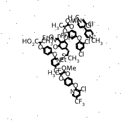 CC(Oc1ccc(Oc2ccc(C(F)(F)F)cn2)cc1)C(=O)O.CCCC(=NOCC)C1=C(O)CC(CC(C)SCC)CC1=O.COC(=O)C(C)Oc1ccc(Oc2ccc(Cl)cc2Cl)cc1.COC(=O)C(C)Oc1ccc(Oc2ncc(C(F)(F)F)cc2Cl)cc1.C[n+]1ccc(-c2cc[n+](C)cc2)cc1.[Cl-].[Cl-]